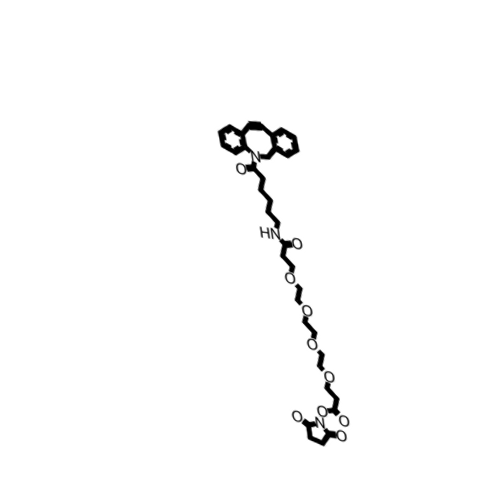 O=C(CCOCCOCCOCCOCCC(=O)ON1C(=O)CCC1=O)NCCCCCC(=O)N1Cc2ccccc2C#Cc2ccccc21